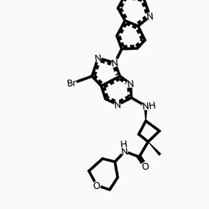 C[C@]1(C(=O)NC2CCOCC2)C[C@H](Nc2ncc3c(Br)nn(-c4ccc5ncccc5c4)c3n2)C1